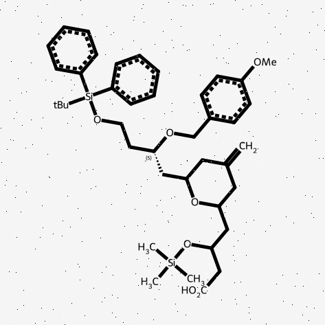 C=C1CC(CC(CC(=O)O)O[Si](C)(C)C)OC(C[C@H](CCO[Si](c2ccccc2)(c2ccccc2)C(C)(C)C)OCc2ccc(OC)cc2)C1